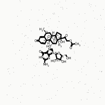 CC(=O)OCC(=O)[C@@]1(O)CC[C@H]2[C@@H]3C[C@H](C)C4=CC(=O)C=C[C@]4(C)[C@H]3[C@@H](O)C[C@@]21C.Nc1nc2c(ncn2[C@@H]2O[C@H](CO)[C@@H](O)[C@H]2O)c(=O)[nH]1